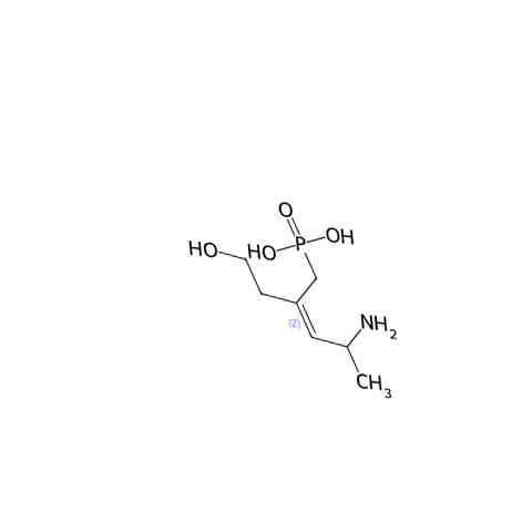 CC(N)/C=C(/CCO)CP(=O)(O)O